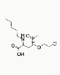 CCCCCNC(CC(OCCCl)[PH](C)=O)C(=O)O